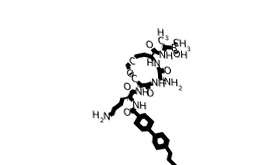 CCCCc1ccc(-c2ccc(C(=O)N[C@@H](CCCCN)C(=O)N[C@H]3COCCCC[C@@H](C(=O)N[C@@H](C)B(C)O)NC(=O)[C@H](N)NC3=O)cc2)cc1